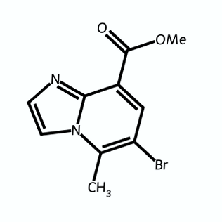 COC(=O)c1cc(Br)c(C)n2ccnc12